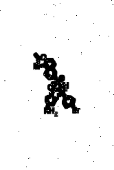 CC(C)Oc1ccc2cc(S(=O)(=O)N[C@@H](C(=O)N3CCC(N)CC3)C(F)(F)c3ccc(Br)cc3)ccc2c1Br